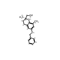 Cc1cc(OCc2ccccc2)cc2c1O[C@](C)(CO)CC2